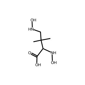 CC(C)(CNO)C(NO)C(=O)O